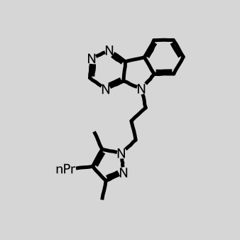 CCCc1c(C)nn(CCCn2c3ccccc3c3nncnc32)c1C